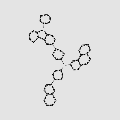 c1ccc(-n2c3ccccc3c3cc(-c4ccc(N(c5ccc(-c6ccc7ccccc7c6)cc5)c5ccc6ccc7ccccc7c6c5)cc4)ccc32)cc1